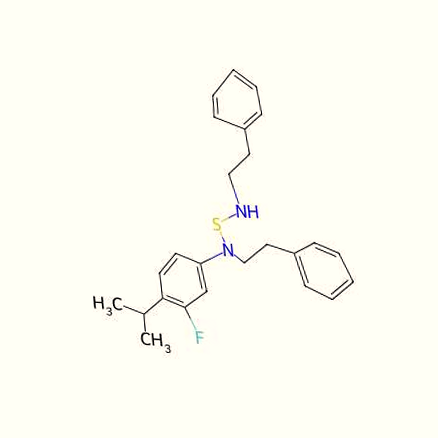 CC(C)c1ccc(N(CCc2ccccc2)SNCCc2ccccc2)cc1F